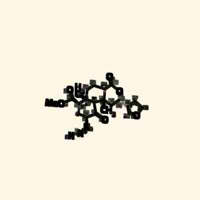 COC(=O)[C@@H]1C[C@H](N=[N+]=[N-])C(=O)C2[C@@]3(C)C[C@@H](c4ccoc4)OC(=O)C3CC[C@]21C